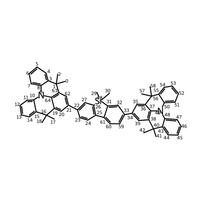 CC1(C)c2ccccc2N2c3ccccc3C(C)(C)c3cc(-c4ccc5c(c4)[Si](C)(C)c4cc(-c6cc7c8c(c6)C(C)(C)c6ccccc6N8c6ccccc6C7(C)C)ccc4-5)cc1c32